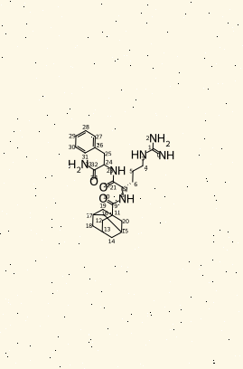 N=C(N)NCCC[C@H](NC(=O)C12CC3CC(CC(C3)C1)C2)C(=O)NC(Cc1ccccc1)C(N)=O